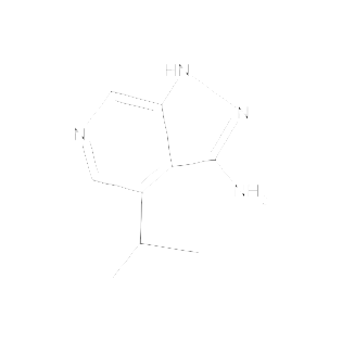 CC(C)c1cncc2[nH]nc(N)c12